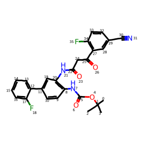 CC(C)(C)OC(=O)Nc1ccc(-c2ccccc2F)cc1NC(=O)CC(=O)c1cc(C#N)ccc1F